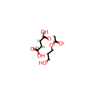 CC(=O)OCCCO.O=C(O)CCC(=O)O